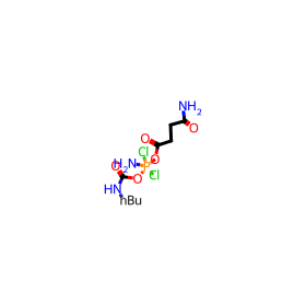 CCCCNC(=O)OP(N)(Cl)(Cl)OC(=O)CCC(N)=O